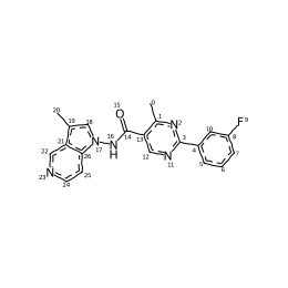 Cc1nc(-c2cccc(F)c2)ncc1C(=O)Nn1cc(C)c2cnccc21